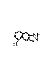 CCc1cccc2cc3[nH]ncc3cc12